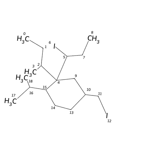 CCC(C)C1(C(I)CC)CC(CI)CCC1C(C)C